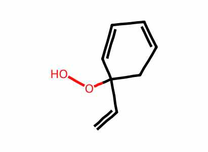 C=CC1(OO)C=CC=CC1